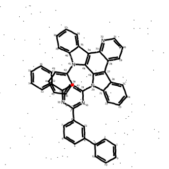 c1ccc(-c2cccc(-c3nc(-c4ccccc4)nc(-n4c5ccccc5c5c6cccnc6c6c7ccccc7n(-c7ccccc7)c6c54)n3)c2)cc1